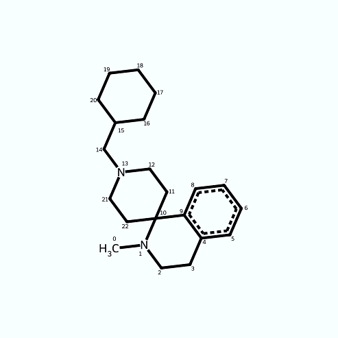 CN1CCc2ccccc2C12CCN(CC1CCCCC1)CC2